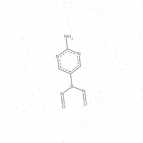 Nc1ncc(B(N=O)N=O)cn1